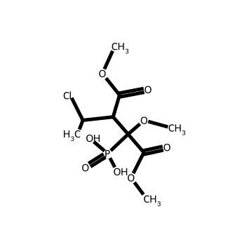 COC(=O)C(C(C)Cl)C(OC)(C(=O)OC)P(=O)(O)O